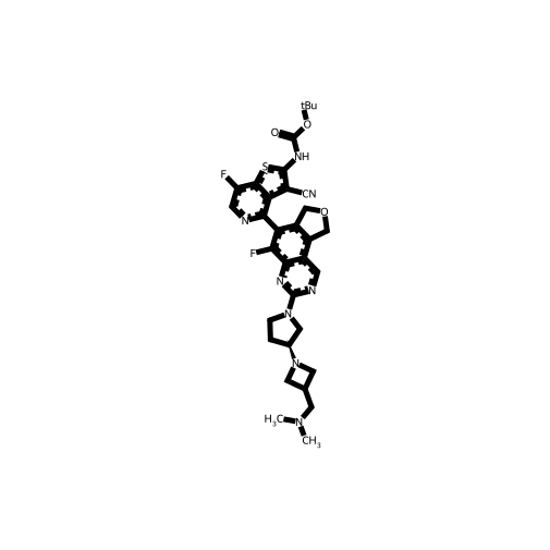 CN(C)CC1CN([C@H]2CCN(c3ncc4c5c(c(-c6ncc(F)c7sc(NC(=O)OC(C)(C)C)c(C#N)c67)c(F)c4n3)COC5)C2)C1